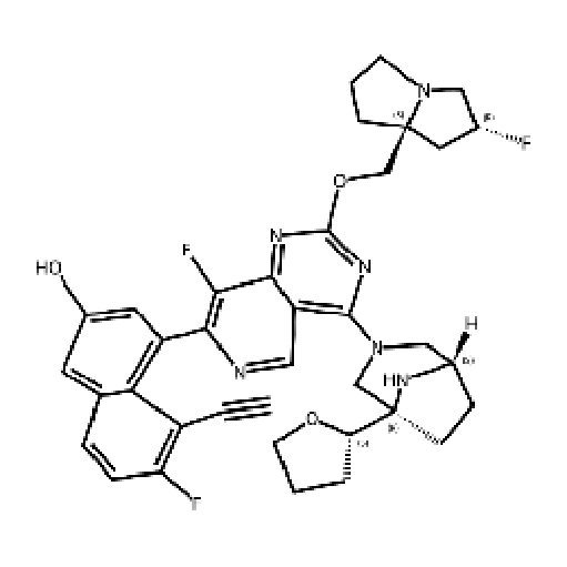 C#Cc1c(F)ccc2cc(O)cc(-c3ncc4c(N5C[C@@H]6CC[C@]([C@@H]7CCCO7)(C5)N6)nc(OC[C@@]56CCCN5C[C@H](F)C6)nc4c3F)c12